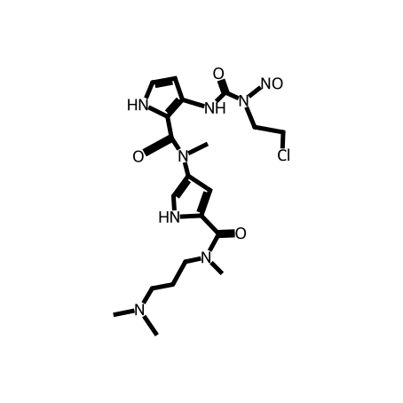 CN(C)CCCN(C)C(=O)c1cc(N(C)C(=O)c2[nH]ccc2NC(=O)N(CCCl)N=O)c[nH]1